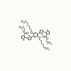 CCCCCCOc1cc(-c2ccc(-c3sccc3C(=O)OCC)s2)c(OCCCCCC)cc1-c1ccc(-c2sccc2C(=O)OCC)s1